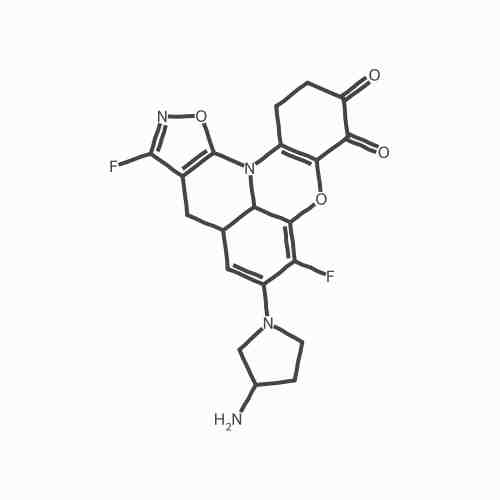 NC1CCN(C2=CC3Cc4c(F)noc4N4C5=C(OC(=C2F)C34)C(=O)C(=O)CC5)C1